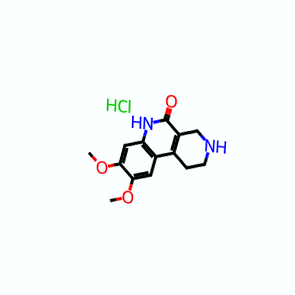 COc1cc2[nH]c(=O)c3c(c2cc1OC)CCNC3.Cl